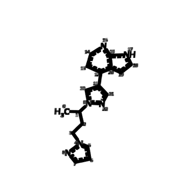 CC(CCn1cccn1)n1cc(-c2ccnc3[nH]ccc23)cn1